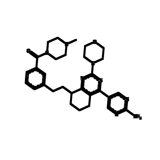 CN1CCN(C(=O)c2cccc(CCC3CCCc4c(-c5cnc(N)nc5)nc(N5CCOCC5)nc43)c2)CC1